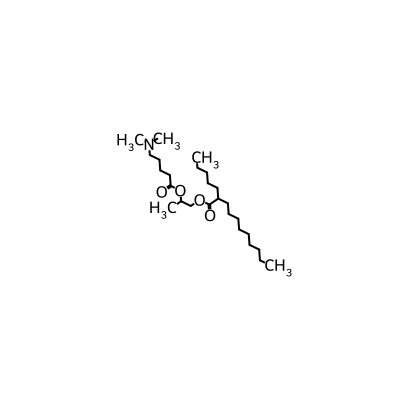 CCCCCCCCCC(CCCCC)C(=O)OCC(C)OC(=O)CCCCN(C)C